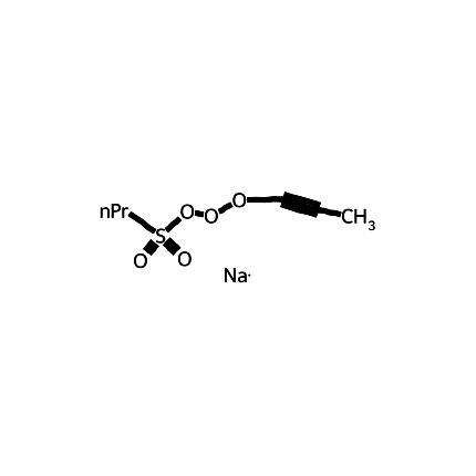 CC#COOOS(=O)(=O)CCC.[Na]